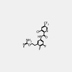 C/N=C(/N)OCCc1cc(NC(=O)c2ncc(C(F)(F)F)cc2Cl)cc(F)c1F